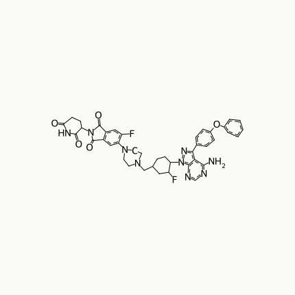 Nc1ncnc2c1c(-c1ccc(Oc3ccccc3)cc1)nn2C1CCC(CN2CCN(c3cc4c(cc3F)C(=O)N(C3CCC(=O)NC3=O)C4=O)CC2)CC1F